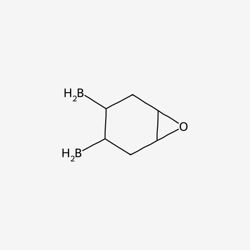 BC1CC2OC2CC1B